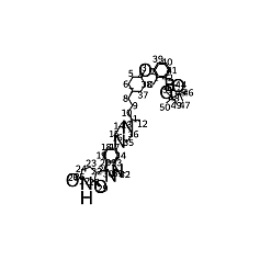 Cc1c(OC2CCC(CCCC(C)N3CCN(c4ccc5c(C6CCC(=O)NC6=O)nn(C)c5c4)CC3)CC2)cccc1B1OC(C)(C)C(C)(C)O1